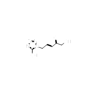 CCC(=O)/C=C/Cn1nnnc1C